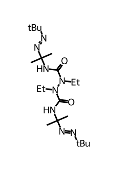 CCN(C(=O)NC(C)(C)N=NC(C)(C)C)N(CC)C(=O)NC(C)(C)N=NC(C)(C)C